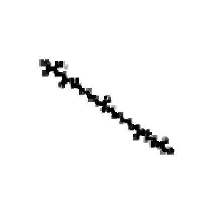 N[C@@H](CCC(=O)NCCOCCOCC(=O)NCCOCCOCC(=O)NCCNC(=O)CBr)C(=O)O